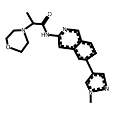 CC(C(=O)Nc1cc2cc(-c3cnn(C)c3)ccc2cn1)N1CCOCC1